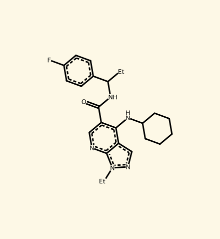 CCC(NC(=O)c1cnc2c(cnn2CC)c1NC1CCCCC1)c1ccc(F)cc1